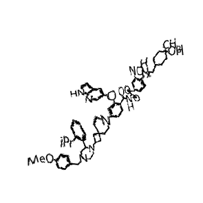 COc1ccc(CN2CCN(C3CC4(CCN(c5ccc(C(=O)NS(=O)(=O)c6ccc(NCC7CCC(C)(O)CC7)c([N+](=O)[O-])c6)c(Oc6cnc7[nH]ccc7c6)c5)CC4)C3)C(c3ccccc3C(C)C)C2)cc1